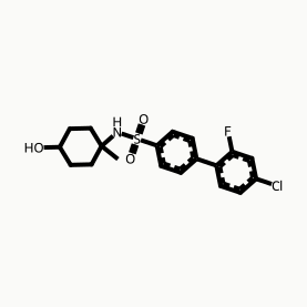 CC1(NS(=O)(=O)c2ccc(-c3ccc(Cl)cc3F)cc2)CCC(O)CC1